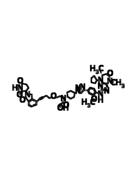 CC[C@@H]1C2OC2N(C)c2cnc(Nc3ccc(-c4cn([C@H]5CC[C@@H](N(CCOCCC#Cc6cccc7c6CN(C6CCC(=O)NC6=O)C7=O)C(=O)CO)CC5)nn4)cc3OC)nc2N1C1CCCC1